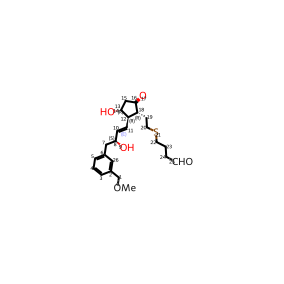 COCc1cccc(C[C@H](O)/C=C/[C@H]2[C@H](O)CC(=O)[C@@H]2CCSCCCC=O)c1